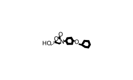 O=C1O[C@@H](CO)CN1c1ccc(OCc2ccccc2)cc1